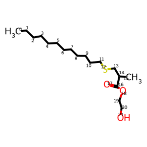 CCCCCCCCCCCCSCC(C)C(=O)OCCO